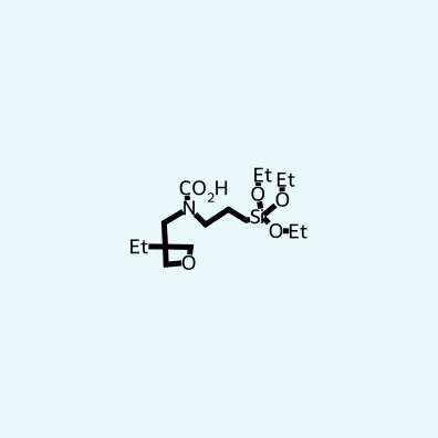 CCO[Si](CCCN(CC1(CC)COC1)C(=O)O)(OCC)OCC